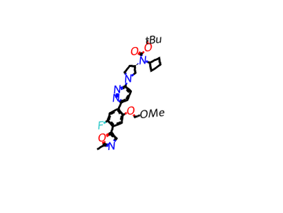 COCOc1cc(-c2cnc(C)o2)c(F)cc1-c1ccc(N2CC[C@H](N(C(=O)OC(C)(C)C)C3CCC3)C2)nn1